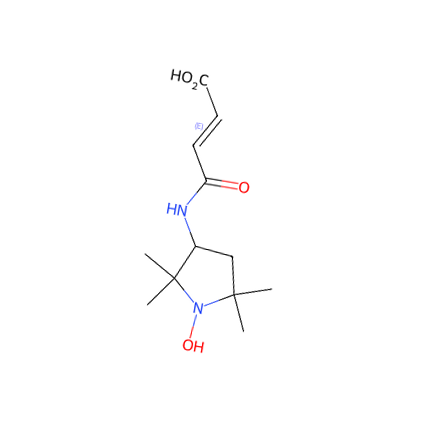 CC1(C)CC(NC(=O)/C=C/C(=O)O)C(C)(C)N1O